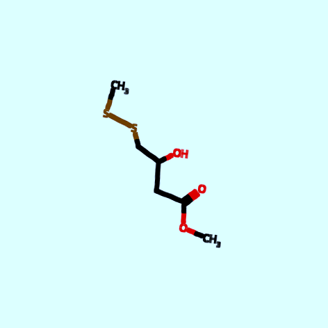 COC(=O)CC(O)CSSC